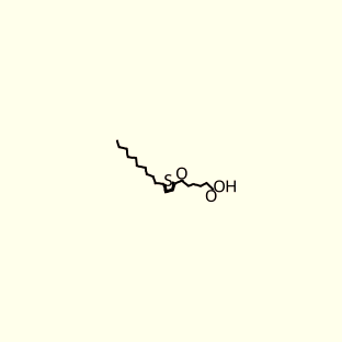 CCCCCCCCCCc1ccc(C(=O)CCCCC(=O)O)s1